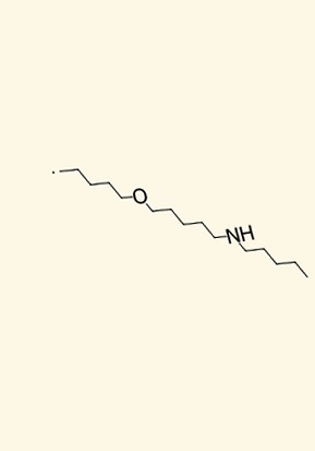 [CH2]CCCCOCCCCCNCCCCC